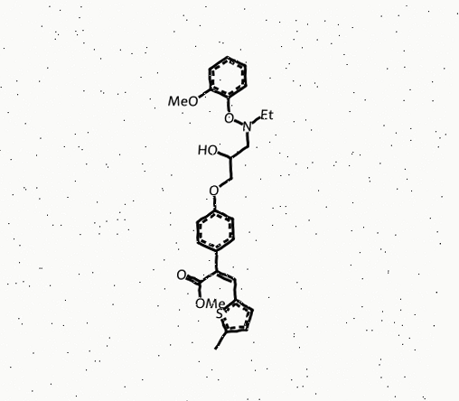 CCN(CC(O)COc1ccc(/C(=C/c2ccc(C)s2)C(=O)OC)cc1)Oc1ccccc1OC